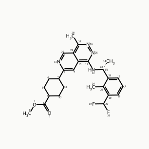 COC(=O)C1CCC(c2cc3c(N[C@H](C)c4cccc(C(F)F)c4C)nnc(C)c3cn2)CC1